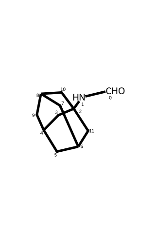 O=CNC12CC3CC(CC(C3)C1)C2